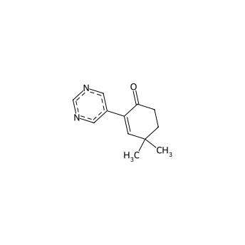 CC1(C)C=C(c2cncnc2)C(=O)CC1